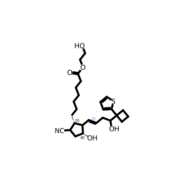 N#CC1C[C@@H](O)C(/C=C/CC(O)C2(c3cccs3)CCC2)[C@H]1CCCCCCC(=O)OCCO